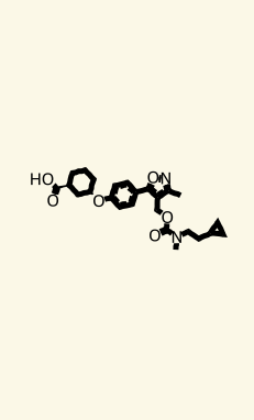 Cc1noc(-c2ccc(O[C@H]3CCC[C@H](C(=O)O)C3)cc2)c1COC(=O)N(C)CCC1CC1